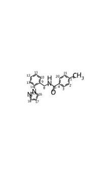 Cc1ccc(C(=O)NCc2ccccc2-n2cccn2)cc1